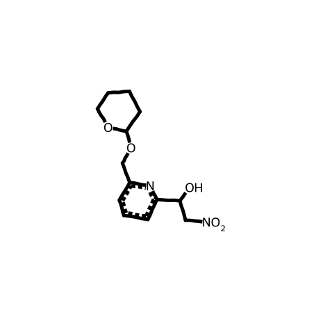 O=[N+]([O-])CC(O)c1cccc(COC2CCCCO2)n1